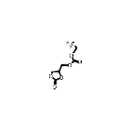 O=C(OCC1COC(=O)O1)OCC(F)(F)F